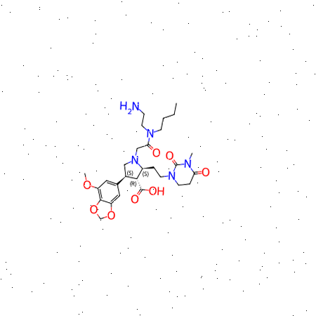 CCCCN(CCN)C(=O)CN1C[C@H](c2cc(OC)c3c(c2)OCO3)[C@@H](C(=O)O)[C@@H]1CCN1CCC(=O)N(C)C1=O